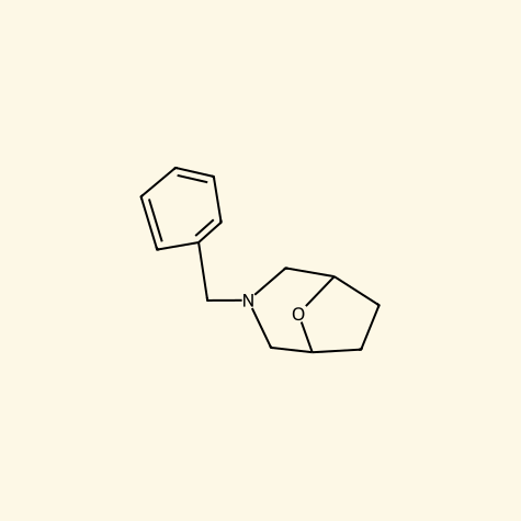 c1ccc(CN2CC3CCC(C2)O3)cc1